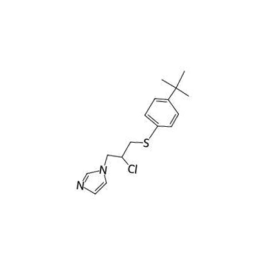 CC(C)(C)c1ccc(SCC(Cl)Cn2ccnc2)cc1